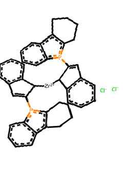 C1=C(p2c3c(c4ccccc42)CCCC3)[CH]([Zr+2][CH]2C(p3c4c(c5ccccc53)CCCC4)=Cc3ccccc32)c2ccccc21.[Cl-].[Cl-]